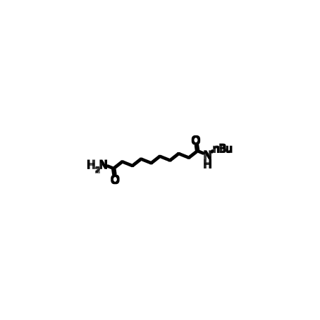 CCCCNC(=O)CCCCCCCCC(N)=O